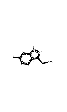 CNCc1n[nH]c2cc(C)ccc12